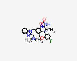 C/C(=C1/c2ccc(Cn3c(CN(C)C)nc4ccccc43)cc2COc2cc(F)ccc21)c1noc(=O)[nH]1